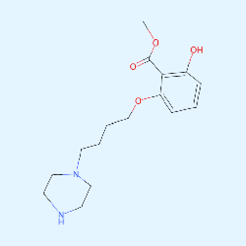 COC(=O)c1c(O)cccc1OCCCCN1CCNCC1